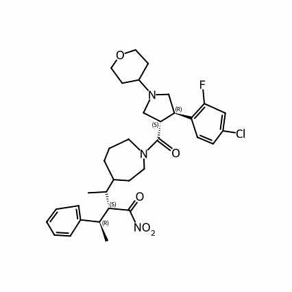 CC(C1CCCN(C(=O)[C@@H]2CN(C3CCOCC3)C[C@H]2c2ccc(Cl)cc2F)CC1)[C@H](C(=O)[N+](=O)[O-])[C@@H](C)c1ccccc1